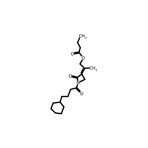 CCCC(=O)OCC(C)=C1CN(C(=O)CCCC2CCCCC2)C1=O